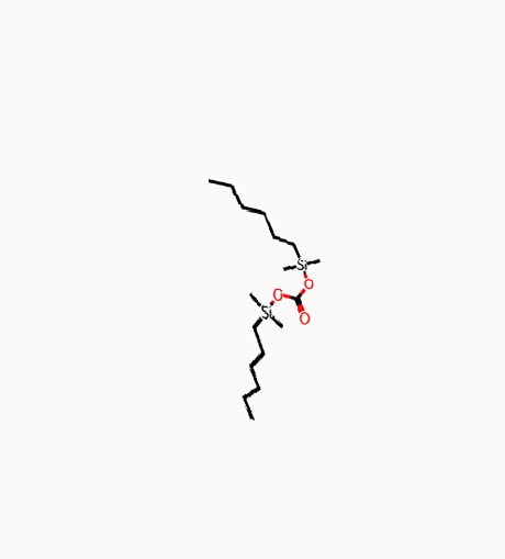 CCCCCC[Si](C)(C)OC(=O)O[Si](C)(C)CCCCCC